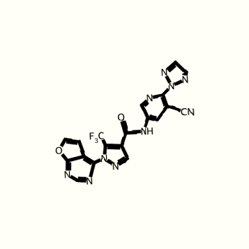 N#Cc1cc(NC(=O)c2cnn(-c3ncnc4occc34)c2C(F)(F)F)cnc1-n1nccn1